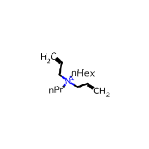 C=CC[N+](CC=C)(CCC)CCCCCC